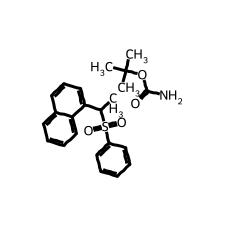 CC(C)(C)OC(N)=O.CC(c1cccc2ccccc12)S(=O)(=O)c1ccccc1